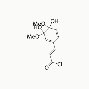 COC1(O)C=CC(C=CC(=O)Cl)=CC1(O)OC